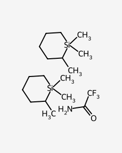 CC1CCCC[Si]1(C)C.CC1CCCC[Si]1(C)C.NC(=O)C(F)(F)F